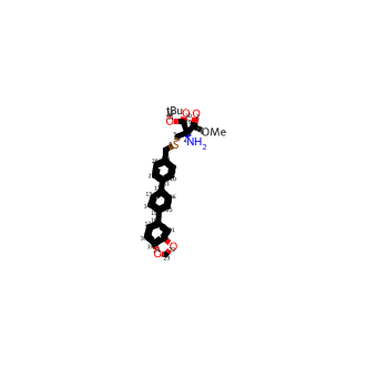 COC(=O)C(N)(CSCc1ccc(-c2ccc(-c3ccc4c(c3)OCO4)cc2)cc1)C(=O)OC(C)(C)C